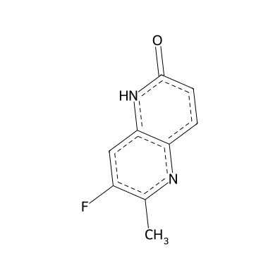 Cc1nc2ccc(=O)[nH]c2cc1F